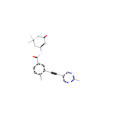 Cc1ccc(C(=O)NC2=CC(=O)CC(C)(C)C2)cc1C#Cc1cnc(N)nc1